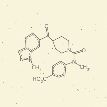 CN(C(=O)N1CCC(C(=O)c2ccc3cnn(C)c3c2)CC1)c1ccc(C(=O)O)cc1